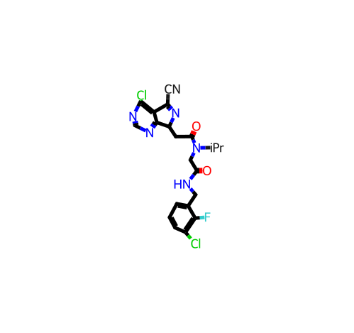 CC(C)N(CC(=O)NCc1cccc(Cl)c1F)C(=O)CC1N=C(C#N)c2c(Cl)ncnc21